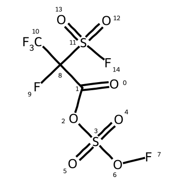 O=C(OS(=O)(=O)OF)C(F)(C(F)(F)F)S(=O)(=O)F